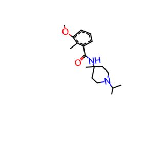 COc1cccc(C(=O)NC2(C)CCN(C(C)C)CC2)c1C